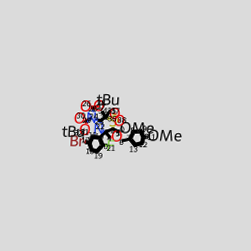 COCC1C(COCc2ccc(OC)cc2)(c2cc(Br)ccc2F)N=C(N(C(=O)OC(C)(C)C)C(=O)OC(C)(C)C)C(C)(C)S1(=O)=O